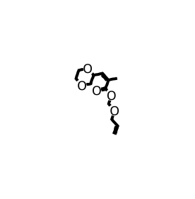 C=CCOCOC(=O)C(C)=CC1COCCO1